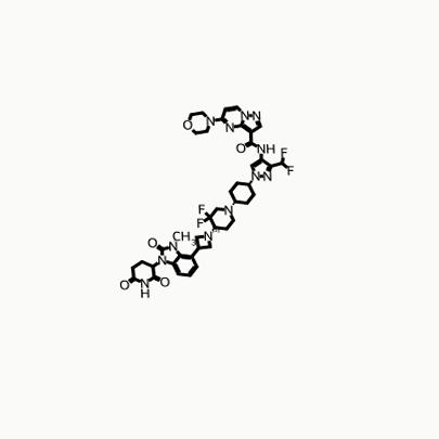 Cn1c(=O)n(C2CCC(=O)NC2=O)c2cccc(C3CN([C@H]4CCN([C@H]5CC[C@H](n6cc(NC(=O)c7cnn8ccc(N9CCOCC9)nc78)c(C(F)F)n6)CC5)CC4(F)F)C3)c21